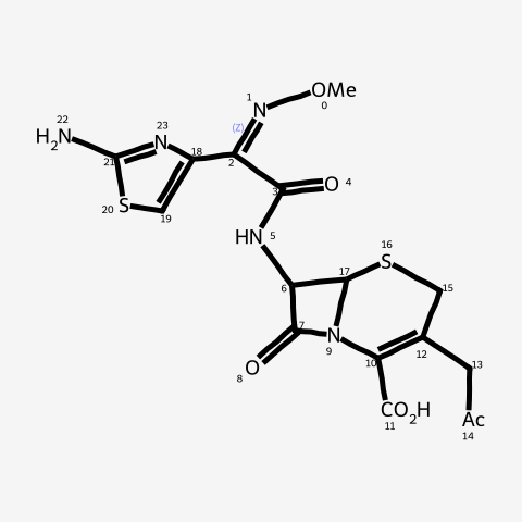 CO/N=C(\C(=O)NC1C(=O)N2C(C(=O)O)=C(CC(C)=O)CSC12)c1csc(N)n1